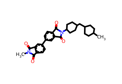 CC1CCC(CC2CCC(N3C(=O)c4ccc(-c5ccc6c(c5)C(=O)N(C)C6=O)cc4C3=O)CC2)CC1